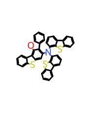 c1ccc2c(c1)oc1c2c(N(c2cccc3c2sc2ccccc23)c2cccc3c2sc2ccccc23)cc2sc3ccccc3c21